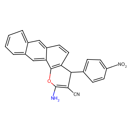 N#CC1=C(N)Oc2c(ccc3cc4ccccc4cc23)C1c1ccc([N+](=O)[O-])cc1